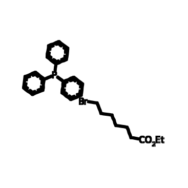 CCOC(=O)CCCCCCBr.c1ccc(P(c2ccccc2)c2ccccc2)cc1